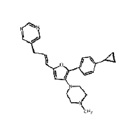 CN1CCN(c2cc(/C=C/Cc3cncnc3)oc2-c2ccc(C3CC3)cc2)CC1